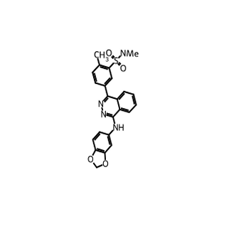 CNS(=O)(=O)c1cc(-c2nnc(Nc3ccc4c(c3)OCO4)c3ccccc23)ccc1C